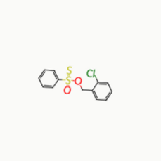 O=S(=S)(OCc1ccccc1Cl)c1ccccc1